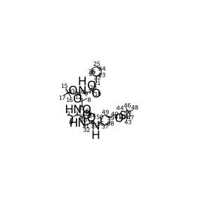 CC(C)[C@H](NC(=O)CC[C@H](NC(=O)OC(C)(C)C)C(=O)OCc1ccccc1)C(=O)N[C@@H](C)C(=O)Nc1ccc(CO[Si](C)(C)C(C)(C)C)cc1